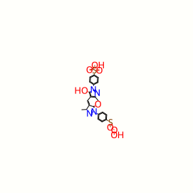 CC1=NN(c2ccc(SOOO)cc2)C(=O)/C1=C\c1c(C)nn(-c2ccc(S(=O)(=O)O)cc2)c1O